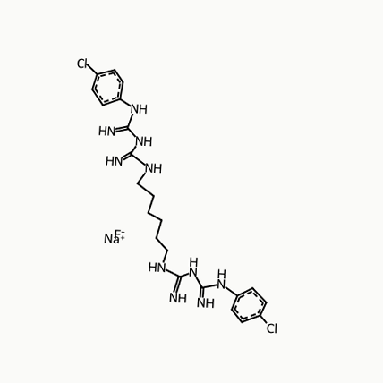 N=C(NCCCCCCNC(=N)NC(=N)Nc1ccc(Cl)cc1)NC(=N)Nc1ccc(Cl)cc1.[F-].[Na+]